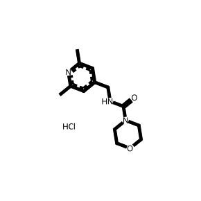 Cc1cc(CNC(=O)N2CCOCC2)cc(C)n1.Cl